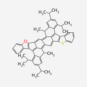 CC(C)c1cc(C(C)C)c2c(c1)C(C)c1c3c(cc4c5c6c(cc14)-c1sc4ccccc4c1C=6c1c(C(C)C)cc(C(C)C)cc1C5C)-c1oc4ccccc4c1C=32